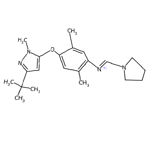 Cc1cc(Oc2cc(C(C)(C)C)nn2C)c(C)cc1/N=C/N1CCCC1